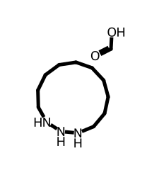 C1CCCCCNNNCCCC1.O=CO